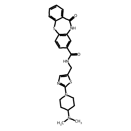 CN(C)C1CCN(c2ncc(CNC(=O)c3ccc4c(c3)NC(=O)c3ccccc3S4)s2)CC1